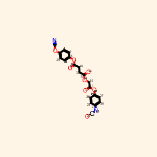 N#COc1ccc(OC(=O)CCC(=O)OCC(=O)Oc2ccc(N=C=O)cc2)cc1